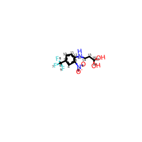 O=[N+]([O-])c1cc(C(F)(F)F)ccc1NCCC(O)O